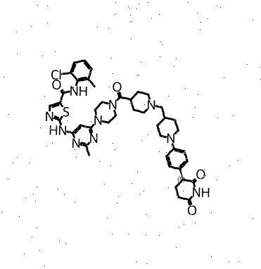 Cc1nc(Nc2ncc(C(=O)Nc3c(C)cccc3Cl)s2)cc(N2CCN(C(=O)C3CCN(CC4CCN(c5ccc([C@@H]6CCC(=O)NC6=O)cc5)CC4)CC3)CC2)n1